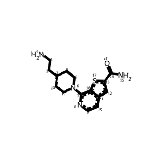 NCCC1CCN(c2nccc3cc(C(N)=O)sc23)CC1